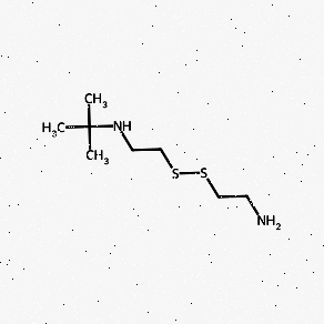 CC(C)(C)NCCSSCCN